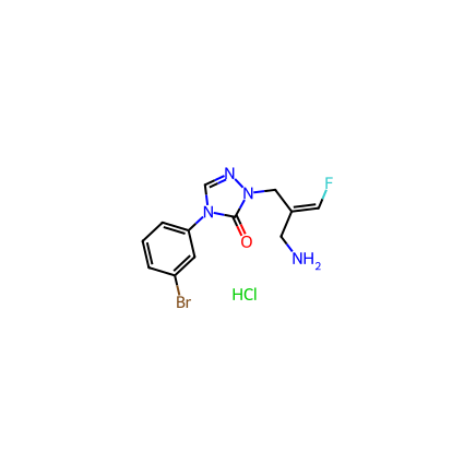 Cl.NC/C(=C/F)Cn1ncn(-c2cccc(Br)c2)c1=O